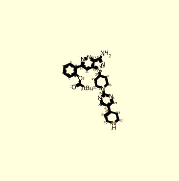 CC(C)(C)C(=O)Oc1ccccc1-c1cc2c(nn1)c(N)nn2C1CCN(c2ncc(C3=CCNCC3)cn2)CC1